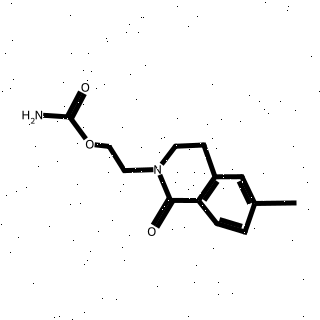 Cc1ccc2c(c1)CCN(CCOC(N)=O)C2=O